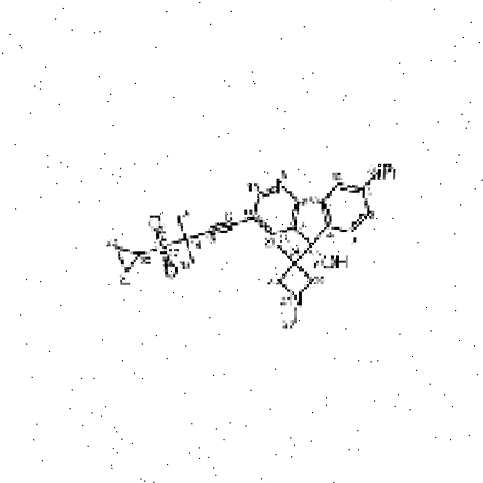 CC(C)c1ccc([C@](O)(c2cncc(C#CC(C)(C)S(=O)(=O)C3CC3)c2)C2(C)CN(C)C2)cc1